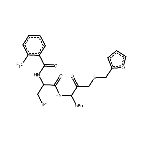 CCCCC(NC(=O)C(CC(C)C)NC(=O)c1ccccc1C(F)(F)F)C(=O)CSCc1ccco1